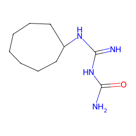 N=C(NC(N)=O)NC1CCCCCCC1